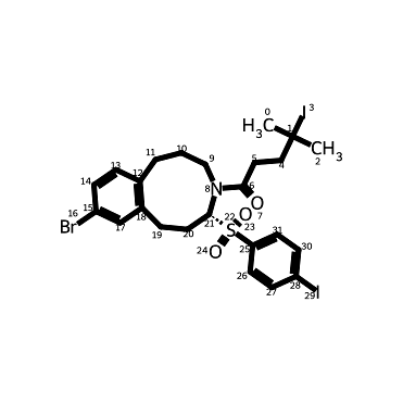 CC(C)(I)CCC(=O)N1CCCc2ccc(Br)cc2CC[C@H]1S(=O)(=O)c1ccc(I)cc1